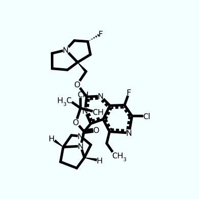 CCc1nc(Cl)c(F)c2nc(OC[C@@]34CCCN3C[C@H](F)C4)nc(N3C[C@H]4CC[C@@H](C3)N4C(=O)OC(C)(C)C)c12